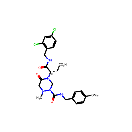 COc1ccc(CNC(=O)N2CN([C@@H](CC(=O)O)C(=O)NCc3ccc(Cl)cc3Cl)C(=O)CN2C)cc1